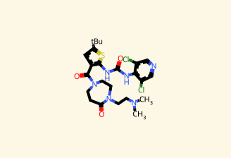 CN(C)CCN1CCN(C(=O)c2cc(C(C)(C)C)sc2NC(=O)Nc2c(Cl)cncc2Cl)CCC1=O